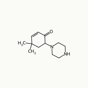 CC1(C)C=CC(=O)C(N2CCNCC2)C1